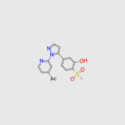 CC(=O)c1ccnc(-n2nccc2-c2ccc(S(C)(=O)=O)c(O)c2)c1